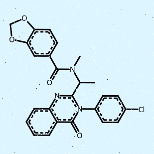 CC(c1nc2ccccc2c(=O)n1-c1ccc(Cl)cc1)N(C)C(=O)c1ccc2c(c1)OCO2